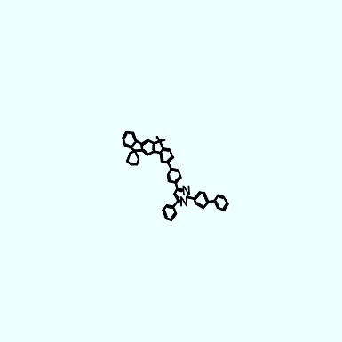 CC1(C)c2ccc(-c3ccc(-c4cc(-c5ccccc5)nc(-c5ccc(-c6ccccc6)cc5)n4)cc3)cc2-c2cc3c(cc21)-c1ccccc1C31CCCCC1